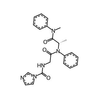 C[C@@H](C(=O)N(C)c1ccccc1)N(C(=O)CNC(=O)n1ccnc1)c1ccccc1